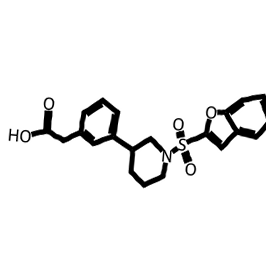 O=C(O)Cc1cccc(C2CCCN(S(=O)(=O)c3cc4ccccc4o3)C2)c1